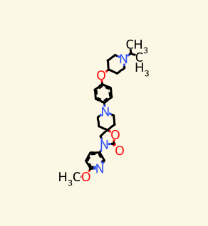 COc1ccc(N2CC3(CCN(c4ccc(OC5CCN(C(C)C)CC5)cc4)CC3)OC2=O)cn1